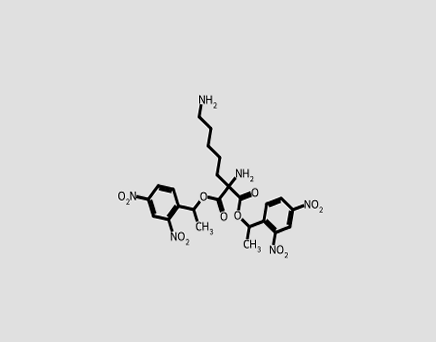 CC(OC(=O)C(N)(CCCCCN)C(=O)OC(C)c1ccc([N+](=O)[O-])cc1[N+](=O)[O-])c1ccc([N+](=O)[O-])cc1[N+](=O)[O-]